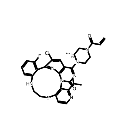 C=CC(=O)N1CCN(c2nc(=O)n3c4nc(c(Cl)cc24)-c2c(F)cccc2NCCSc2ccnc(C(C)C)c2-3)[C@H](C)C1